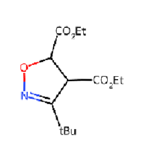 CCOC(=O)C1ON=C(C(C)(C)C)C1C(=O)OCC